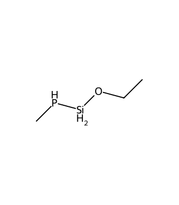 CCO[SiH2]PC